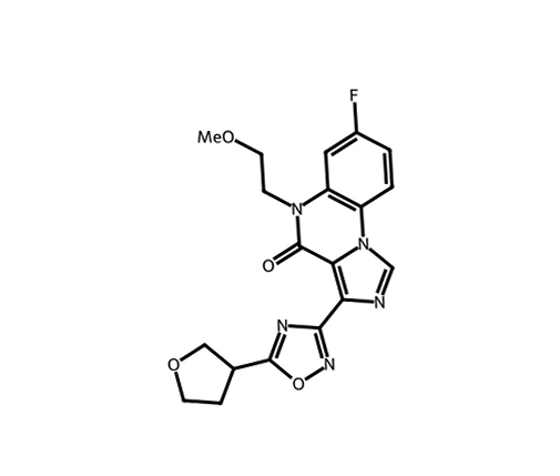 COCCn1c(=O)c2c(-c3noc(C4CCOC4)n3)ncn2c2ccc(F)cc21